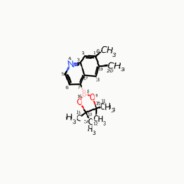 Cc1cc2nccc(B3OC(C)(C)C(C)(C)O3)c2cc1C